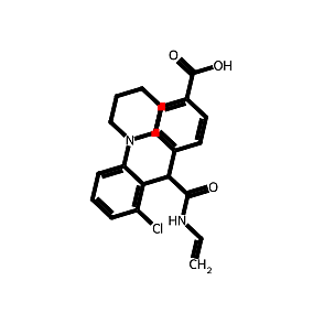 C=CNC(=O)C(c1ccc(C(=O)O)cc1)c1c(Cl)cccc1N1CCCCC1